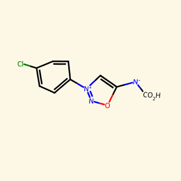 O=C(O)[N-]c1c[n+](-c2ccc(Cl)cc2)no1